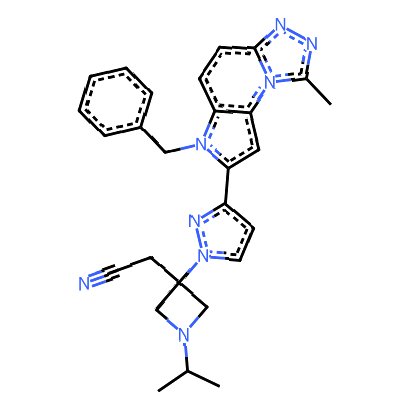 Cc1nnc2ccc3c(cc(-c4ccn(C5(CC#N)CN(C(C)C)C5)n4)n3Cc3ccccc3)n12